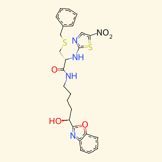 O=C(NCCCC[C@H](O)c1nc2ccccc2o1)[C@H](CSCc1ccccc1)Nc1ncc([N+](=O)[O-])s1